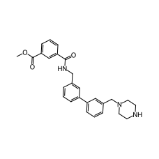 COC(=O)c1cccc(C(=O)NCc2cccc(-c3cccc(CN4CCNCC4)c3)c2)c1